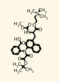 COC(=O)NC(Cc1ccc(N(C(=O)C(=O)OC(C)(C)C)c2ccccc2C(=O)O)c2ccccc12)C(=O)OCC[Si](C)(C)C